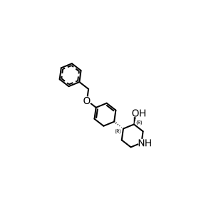 O[C@H]1CNCC[C@@H]1C1C=CC(OCc2ccccc2)=CC1